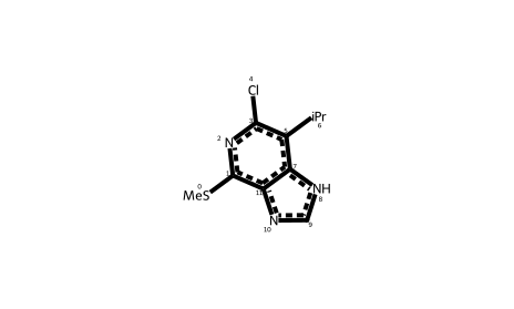 CSc1nc(Cl)c(C(C)C)c2[nH]cnc12